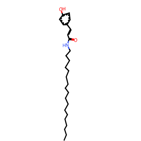 CCCCCCCCCCCCCCCCCCNC(=O)C=Cc1ccc(O)cc1